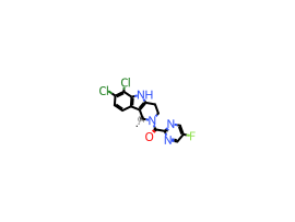 C[C@@H]1c2c([nH]c3c(Cl)c(Cl)ccc23)CCN1C(=O)c1ncc(F)cn1